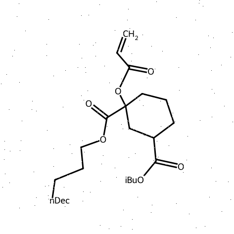 C=CC(=O)OC1(C(=O)OCCCCCCCCCCCCC)CCCC(C(=O)OCC(C)C)C1